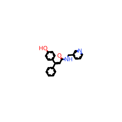 O=C(C=C(c1ccccc1)c1ccc(O)cc1)NCc1cccnc1